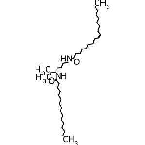 CCCCCCCC/C=C\CCCCCCCC(=O)NCCCC[C@H](NC(=O)CCCCCCCCCCCCCCC)C(C)C